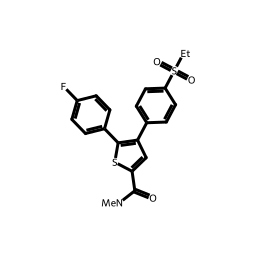 CCS(=O)(=O)c1ccc(-c2cc(C(=O)NC)sc2-c2ccc(F)cc2)cc1